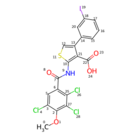 COc1c(Cl)cc(C(=O)Nc2scc(-c3cccc(I)c3)c2C(=O)O)c(Cl)c1Cl